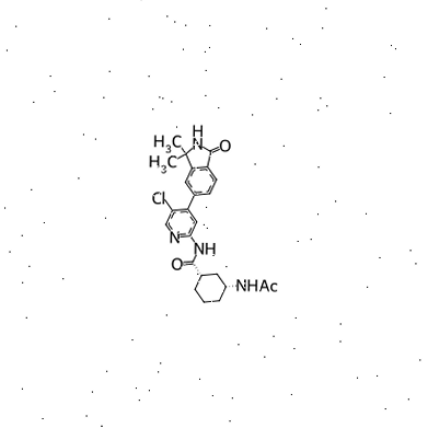 CC(=O)N[C@@H]1CCC[C@H](C(=O)Nc2cc(-c3ccc4c(c3)C(C)(C)NC4=O)c(Cl)cn2)C1